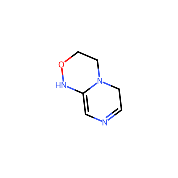 C1=NC=C2NOCCN2C1